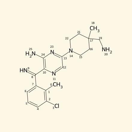 Cc1c(Cl)cccc1C(=N)c1ncc(N2CCC(C)(CN)CC2)nc1N